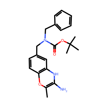 CC1=C(N)Nc2cc(CN(Cc3ccccc3)C(=O)OC(C)(C)C)ccc2O1